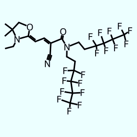 CCN1/C(=C/C=C(\C#N)C(=O)N(CCC(F)(F)C(F)(F)C(F)(F)C(F)(F)F)CCC(F)(F)C(F)(F)C(F)(F)C(F)(F)F)OCC1(C)C